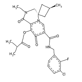 CC(C)C(=O)Oc1c2n(cc(C(=O)NCc3cccc(Cl)c3F)c1=O)[C@]1(CN(C)C2=O)C[C@H](C)C1